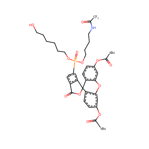 CC(C)(C)C(=O)Oc1ccc2c(c1)Oc1cc(OC(=O)C(C)(C)C)ccc1C21OC(=O)c2ccc(P(=O)(OCCCCCCO)OCCCCNC(=O)C(F)(F)F)cc21